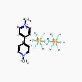 C[n+]1ccc(-c2cc[n+](C)cc2)cc1.F[P-](F)(F)(F)(F)F.F[P-](F)(F)(F)(F)F